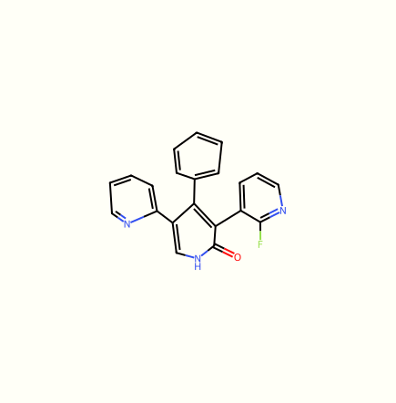 O=c1[nH]cc(-c2ccccn2)c(-c2ccccc2)c1-c1cccnc1F